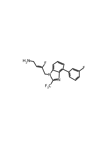 NC/C=C(\F)Cn1c(C(F)(F)F)nc2c(-c3cccc(F)c3)cccc21